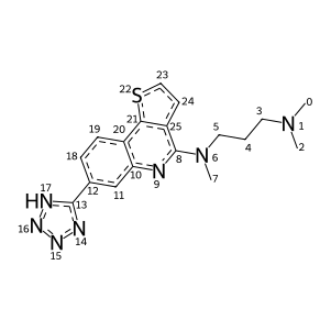 CN(C)CCCN(C)c1nc2cc(-c3nnn[nH]3)ccc2c2sccc12